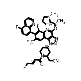 C[C@H](Oc1nc2c(F)c(-c3ccc(F)c4cccnc34)c(C(F)(F)F)cc2c2c1nnn2[C@H]1CCN(C(=O)/C=C/CF)C(CC#N)C1)[C@@H]1CCCN1C